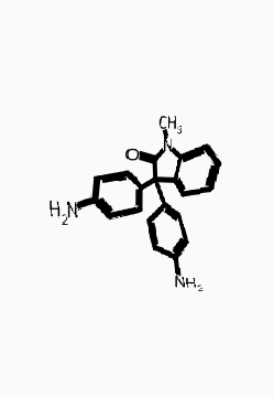 CN1C(=O)C(c2ccc(N)cc2)(c2ccc(N)cc2)c2ccccc21